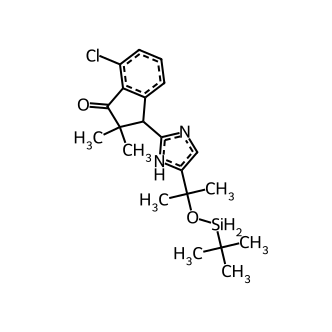 CC(C)(C)[SiH2]OC(C)(C)c1cnc(C2c3cccc(Cl)c3C(=O)C2(C)C)[nH]1